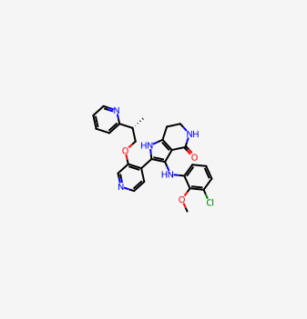 COc1c(Cl)cccc1Nc1c(-c2ccncc2OC[C@@H](C)c2ccccn2)[nH]c2c1C(=O)NCC2